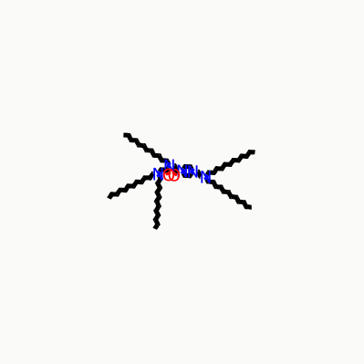 CCCCCCCCCCCCN(CCCCCCCCCCCC)CCN1CCN(C(=O)CN(CCCCCCCCCCCC)C(=O)CN(CCCCCCCCCCCC)CCCCCCCCCCCC)CC1